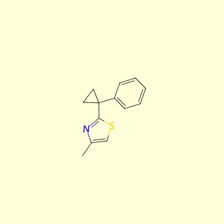 Cc1csc(C2(c3ccccc3)CC2)n1